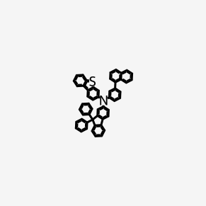 c1ccc(C2(c3ccccc3)c3ccccc3-c3ccc(N(c4cccc(-c5cccc6ccccc56)c4)c4ccc5c(c4)sc4ccccc45)cc32)cc1